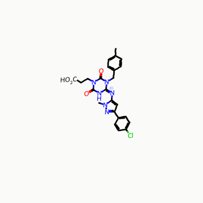 Cc1ccc(Cn2c(=O)n(CCC(=O)O)c(=O)[nH]/c2=N\c2cc(-c3ccc(Cl)cc3)nn2C)cc1